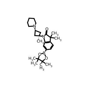 CC1(C)C(=O)N([C@]2(C)C[C@H](N3CCCCC3)C2)c2cc(B3OC(C)(C)C(C)(C)O3)ccc21